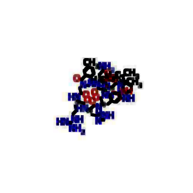 Cc1ccc2ncn(CC(=O)N[C@@H](CCCNC(=N)N)C(=O)N[C@@H](Cc3c[nH]cn3)C(=O)N[C@@H](Cc3ccc(O)cc3)C(=O)N[C@@H](CC(C)C)C(=O)N[C@@H](CC(N)=O)C(=O)N[C@@H](Cc3c[nH]c4ccccc34)C(=O)N[C@H](C)C(C)C)c(=O)c2c1